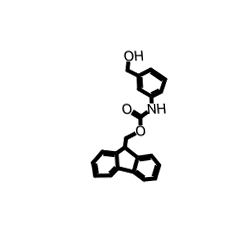 O=C(Nc1cccc(CO)c1)OCC1c2ccccc2-c2ccccc21